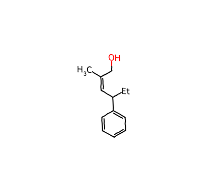 CCC(C=C(C)CO)c1ccccc1